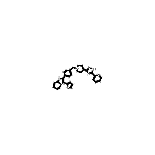 c1ccc(-c2nc(C3CCN(Cc4ccc(-c5nc6ccccn6c5-c5cccs5)cc4)CC3)n[nH]2)nc1